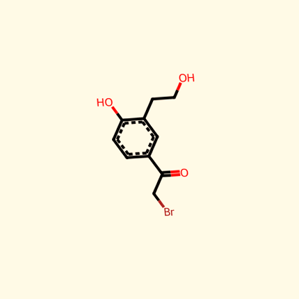 O=C(CBr)c1ccc(O)c(CCO)c1